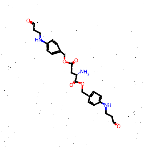 N[C@@H](CC(=O)OCc1ccc(NCCC=O)cc1)C(=O)OCc1ccc(NCCC=O)cc1